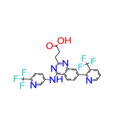 O=C(O)CCc1nc(Nc2ccc(C(F)(F)F)nc2)c2ccc(-c3ncccc3C(F)(F)F)cc2n1